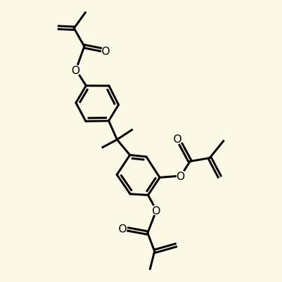 C=C(C)C(=O)Oc1ccc(C(C)(C)c2ccc(OC(=O)C(=C)C)c(OC(=O)C(=C)C)c2)cc1